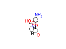 Nc1ccc(C(=O)[N+]2(C(O)CO)CCC[C@H]3CC(=O)CC[C@@H]32)cc1